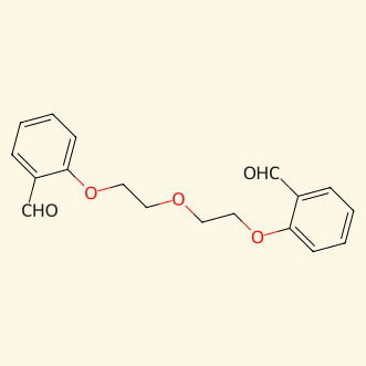 O=Cc1ccccc1OCCOCCOc1ccccc1C=O